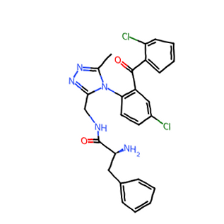 Cc1nnc(CNC(=O)[C@@H](N)Cc2ccccc2)n1-c1ccc(Cl)cc1C(=O)c1ccccc1Cl